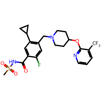 CS(=O)(=O)NC(=O)c1cc(C2CC2)c(CN2CCC(Oc3ncccc3C(F)(F)F)CC2)cc1F